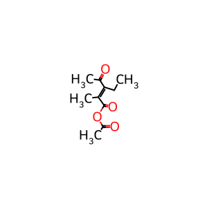 CCC(C(C)=O)=C(C)C(=O)OC(C)=O